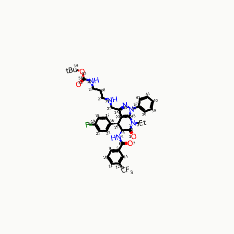 CCN1C(=O)[C@@H](NC(=O)c2cccc(C(F)(F)F)c2)[C@@H](c2ccc(F)cc2)c2c(CNCCCNC(=O)OC(C)(C)C)nn(-c3ccccc3)c21